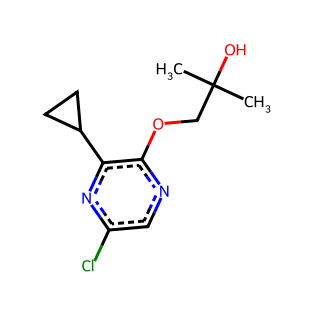 CC(C)(O)COc1ncc(Cl)nc1C1CC1